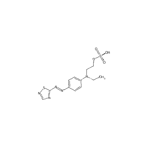 CCN(CCOS(=O)(=O)O)c1ccc(/N=N/c2ncns2)cc1